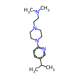 CC(C)c1ccc(N2CCN(CCN(C)C)CC2)nc1